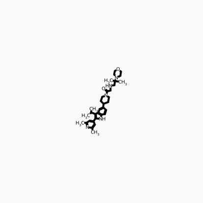 Cc1cc(-c2[nH]c3ccc(C4CCN(C(=O)CNCC(C)(C)N5CCOCC5)CC4)cc3c2C(C)C)cc(C)n1